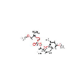 CCc1cc(OC(F)(F)F)cc2c1O[C@@](COC(=O)OC(C)CO[N+](=O)[O-])(C(F)(F)F)C=C2